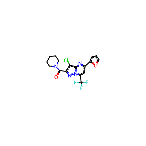 O=C(c1nn2c(C(F)(F)F)cc(-c3ccco3)nc2c1Cl)N1CCCCC1